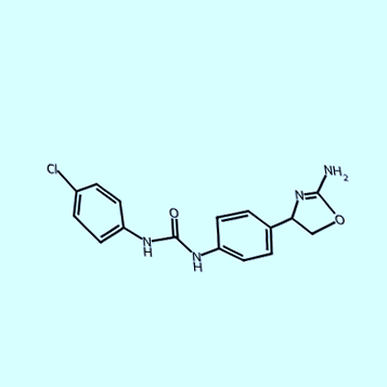 NC1=NC(c2ccc(NC(=O)Nc3ccc(Cl)cc3)cc2)CO1